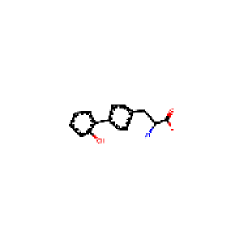 N[C@@H](Cc1ccc(-c2ccccc2O)cc1)C(=O)O